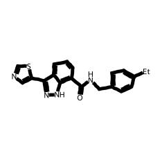 CCc1ccc(CNC(=O)c2cccc3c(-c4cncs4)n[nH]c23)cc1